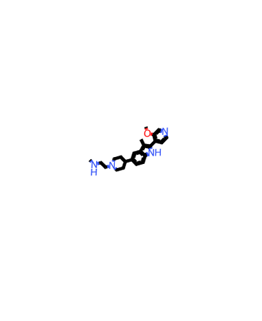 CNCCN1CCC(c2ccc3[nH]c(-c4ccncc4OC)c(C)c3c2)CC1